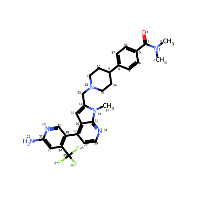 CN(C)C(=O)c1ccc(C2CCN(Cc3cc4c(-c5cnc(N)cc5C(F)(F)F)ccnc4n3C)CC2)cc1